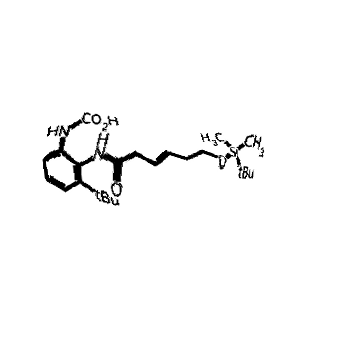 CC(C)(C)c1cccc(NC(=O)O)c1NC(=O)CC=CCCO[Si](C)(C)C(C)(C)C